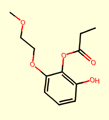 CCC(=O)Oc1c(O)cccc1OCCOC